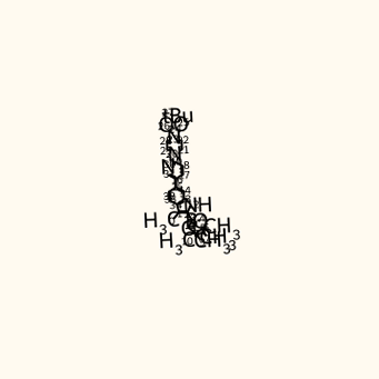 Cc1c(B2OC(C)(C)C(C)(C)O2)[nH]c2cc(-c3ccc(N4CCN(C(=O)OC(C)(C)C)CC4)nc3)ccc12